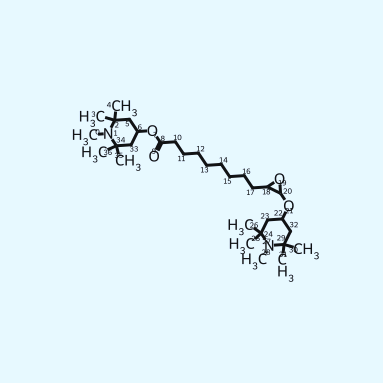 CN1C(C)(C)CC(OC(=O)CCCCCCCCC2OC2OC2CC(C)(C)N(C)C(C)(C)C2)CC1(C)C